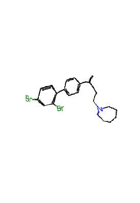 CC(CCN1CCCCCC1)c1ccc(-c2ccc(Br)cc2Br)cc1